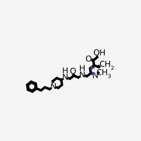 C=C/C(=C\C(CNCC(=O)CNC1CCN(CCCc2ccccc2)CC1)=N/C)C(=O)CO